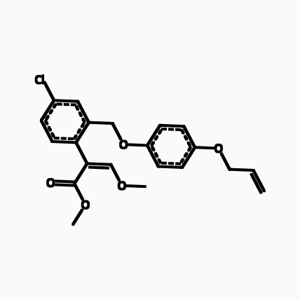 C=CCOc1ccc(OCc2cc(Cl)ccc2C(=COC)C(=O)OC)cc1